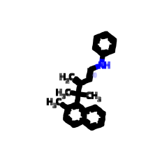 C=C(/C=C/Nc1ccccc1)C(C)(C)c1c(C)ccc2ccccc12